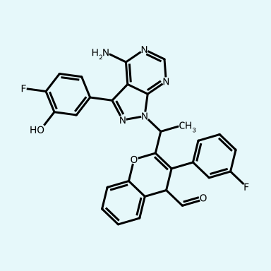 CC(C1=C(c2cccc(F)c2)C(C=O)c2ccccc2O1)n1nc(-c2ccc(F)c(O)c2)c2c(N)ncnc21